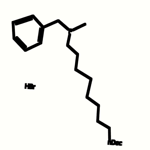 Br.CCCCCCCCCCCCCCCCCCP(C)Cc1ccccc1